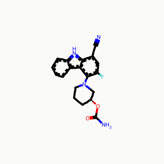 N#Cc1cc(F)c(N2CCC[C@H](OC(N)=O)C2)c2c1[nH]c1ccccc12